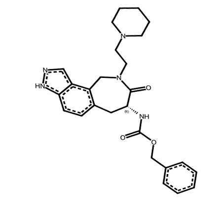 O=C(N[C@@H]1Cc2ccc3[nH]ncc3c2CN(CCN2CCCCC2)C1=O)OCc1ccccc1